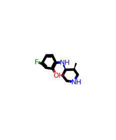 C[C@H]1CNCC[C@H]1Nc1ccc(F)cc1O